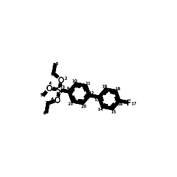 CCO[Si](OC)(OCC)c1ccc(-c2ccc(F)cc2)cc1